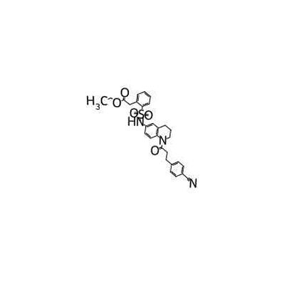 CCOC(=O)Cc1ccccc1S(=O)(=O)Nc1ccc2c(c1)CCCN2C(=O)CCc1ccc(C#N)cc1